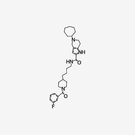 O=C(NCCCCC1CCN(C(=O)c2cccc(F)c2)CC1)c1cc2c([nH]1)CCN(C1CCCCCC1)C2